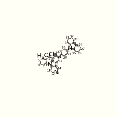 CC1(C)c2ccccc2-n2c3ccncc3c3cc(-c4ccc(-n5c6ccccc6c6ccccc65)cc4)cc1c32